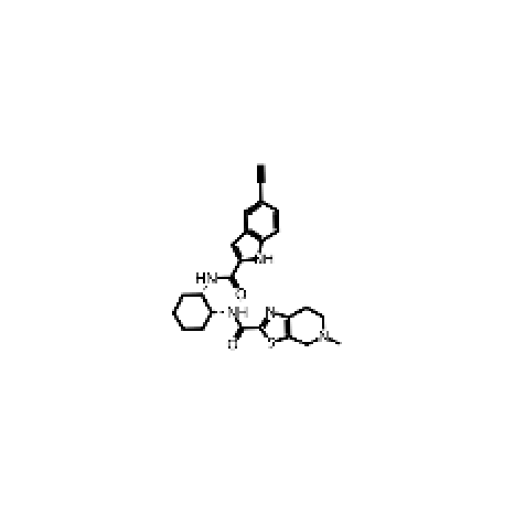 C#Cc1ccc2[nH]c(C(=O)N[C@H]3CCCC[C@H]3NC(=O)c3nc4c(s3)CN(C)CC4)cc2c1